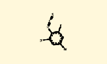 Fc1cc(Br)cc(Br)c1N=C=S